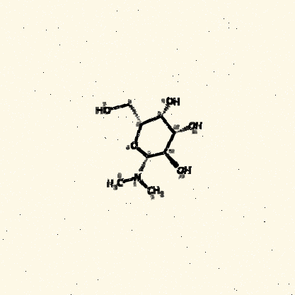 CN(C)[C@@H]1O[C@H](CO)[C@H](O)[C@H](O)[C@H]1O